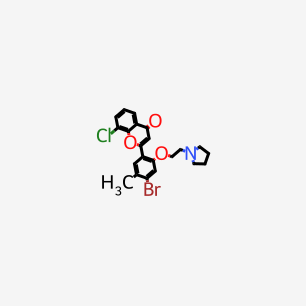 Cc1cc(-c2cc(=O)c3cccc(Cl)c3o2)c(OCCN2CCCC2)cc1Br